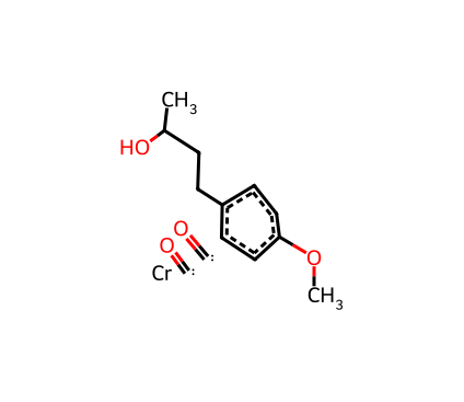 COc1ccc(CCC(C)O)cc1.[C]=O.[C]=O.[Cr]